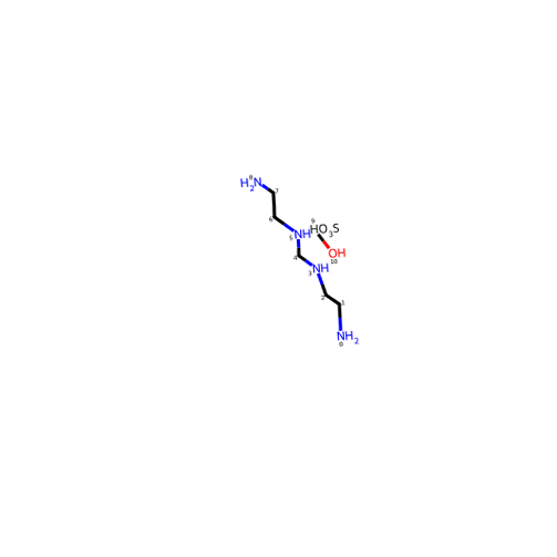 NCCNCNCCN.O=S(=O)(O)O